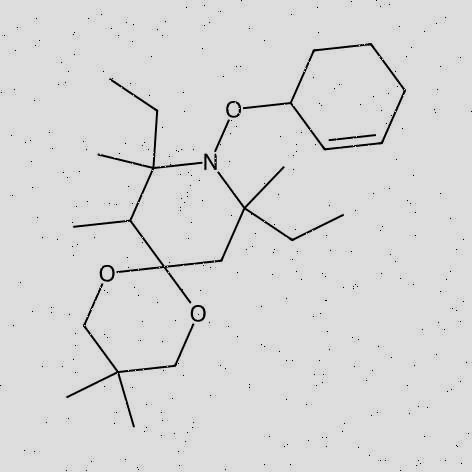 CCC1(C)CC2(OCC(C)(C)CO2)C(C)C(C)(CC)N1OC1C=CCCC1